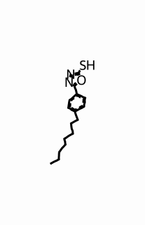 CCCCCCCCc1ccc(-c2nnc(S)o2)cc1